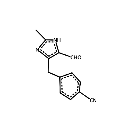 Cc1nc(Cc2ccc(C#N)cc2)c(C=O)[nH]1